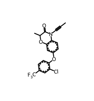 CC#CN1C(=O)C(C)Oc2cc(Oc3ccc(C(F)(F)F)cc3Cl)ccc21